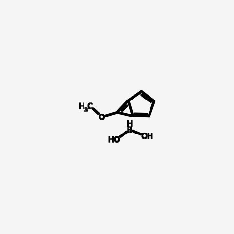 COc1c2cccc1-2.OBO